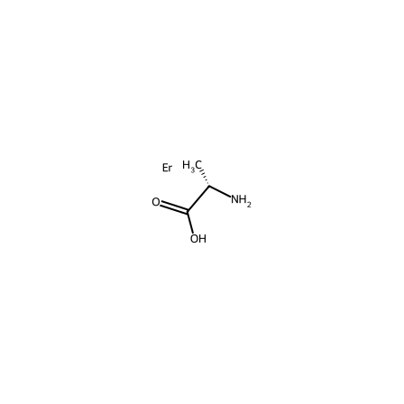 C[C@H](N)C(=O)O.[Er]